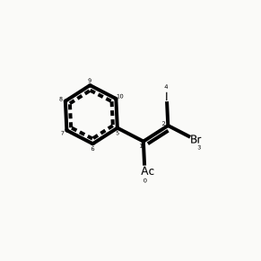 CC(=O)C(=C(Br)I)c1ccccc1